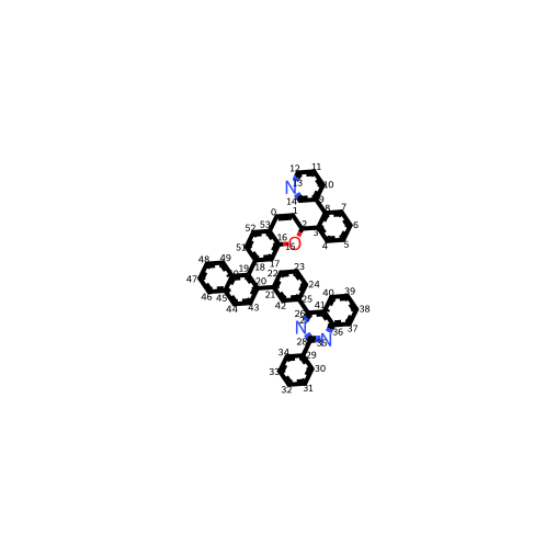 C1=CC(c2ccccc2-c2cccnc2)Oc2cc(-c3c(-c4cccc(-c5nc(-c6ccccc6)nc6ccccc56)c4)ccc4ccccc34)ccc21